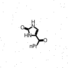 CCCC(=O)c1c[nH]c(=O)[nH]1